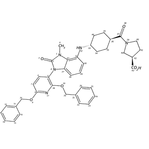 Cn1c(=O)n(-c2ccc(OCc3ccccc3)nc2OCc2ccccc2)c2cccc(N[C@H]3CC[C@H](C(=O)N4CC[C@@H](C(=O)O)C4)CC3)c21